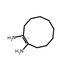 N/C1=C(\N)CCCCCCCC1